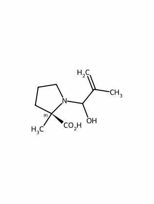 C=C(C)C(O)N1CCC[C@]1(C)C(=O)O